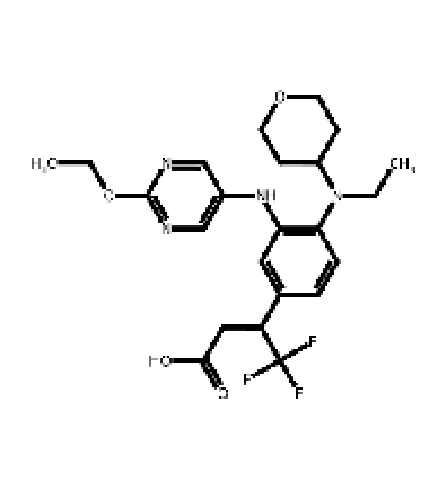 CCOc1ncc(Nc2cc(C(CC(=O)O)C(F)(F)F)ccc2N(CC)C2CCOCC2)cn1